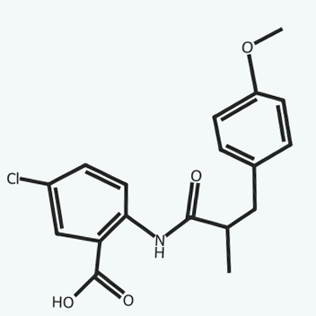 COc1ccc(CC(C)C(=O)Nc2ccc(Cl)cc2C(=O)O)cc1